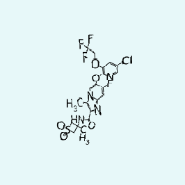 Cc1c(C(=O)NC2(C)CS(=O)(=O)C2)nc2cc(F)c(Oc3ncc(Cl)cc3OCC(F)(F)F)cn12